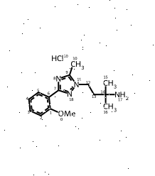 COc1ccccc1-c1nc(C)n(CCC(C)(C)N)n1.Cl